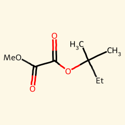 CCC(C)(C)OC(=O)C(=O)OC